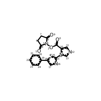 O=C(ON1C(=O)CCC1=O)c1cncn1-c1ncc(-c2ccccc2)s1